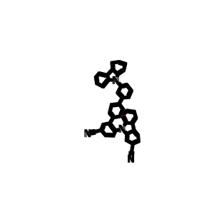 N#Cc1ccc(-n2c3ccccc3c3ccc(C#N)cc32)c(-c2ccc(-c3cccc(-n4c5ccccc5c5ccccc54)c3)cc2)c1